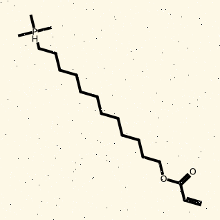 C=CC(=O)OCCCCCCCCCCCC[PH](C)(C)C